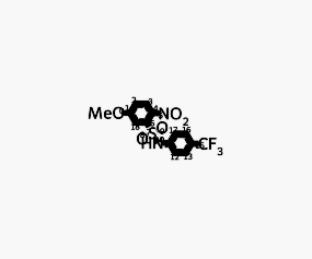 COc1ccc([N+](=O)[O-])c(S(=O)(=O)Nc2ccc(C(F)(F)F)cc2)c1